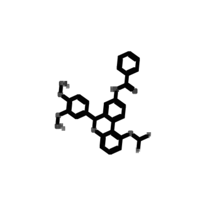 COc1ccc(C2Oc3cccc(OC(F)F)c3-c3ccc(NC(=O)c4ccccc4)cc32)cc1OC